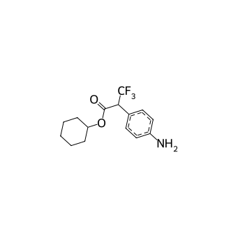 Nc1ccc(C(C(=O)OC2CCCCC2)C(F)(F)F)cc1